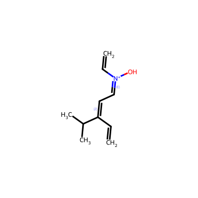 C=C/C(=C\C=[N+](\O)C=C)C(C)C